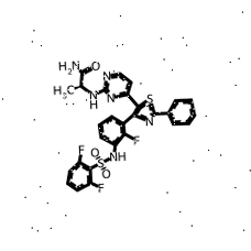 C[C@H](Nc1nccc(-c2sc(-c3ccccc3)nc2-c2cccc(NS(=O)(=O)c3c(F)cccc3F)c2F)n1)C(N)=O